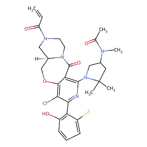 C=CC(=O)N1CCN2C(=O)c3c(N4CC(N(C)C(C)=O)CC4(C)C)nc(-c4c(O)cccc4F)c(Cl)c3OC[C@H]2C1